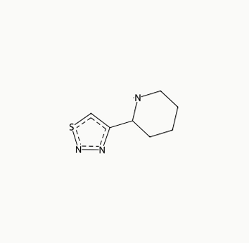 c1snnc1C1CCCC[N]1